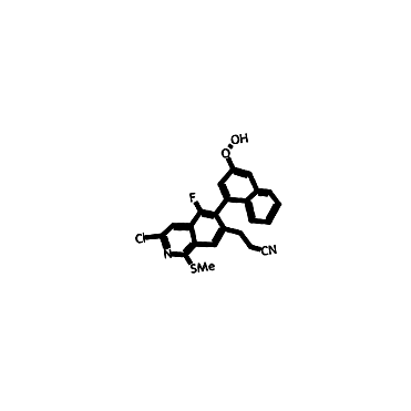 CSc1nc(Cl)cc2c(F)c(-c3cc(OO)cc4ccccc34)c(CCC#N)cc12